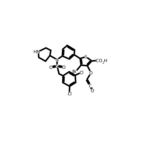 O=C=COc1c(C(=O)O)sc(-c2cccc(N(C3CCNCC3)S(=O)(=O)Cc3cc(Cl)cc(Cl)c3)c2)c1Br